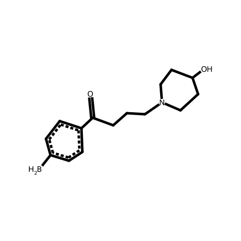 Bc1ccc(C(=O)CCCN2CCC(O)CC2)cc1